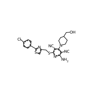 [C-]#[N+]c1c(N)nc(SCc2csc(-c3ccc(Cl)cc3)n2)c(C#N)c1N1CCC(CO)CC1